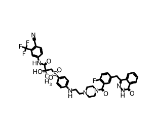 C[C@](O)(CS(=O)(=O)c1ccc(NCCN2CCN(C(=O)c3cc(Cc4n[nH]c(=O)c5ccccc45)ccc3F)CC2)cc1)C(=O)Nc1ccc(C#N)c(C(F)(F)F)c1